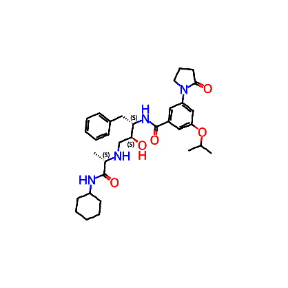 CC(C)Oc1cc(C(=O)N[C@@H](Cc2ccccc2)[C@@H](O)CN[C@@H](C)C(=O)NC2CCCCC2)cc(N2CCCC2=O)c1